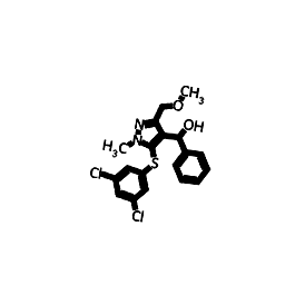 COCc1nn(C)c(Sc2cc(Cl)cc(Cl)c2)c1C(O)c1ccccc1